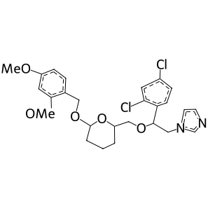 COc1ccc(COC2CCCC(COC(Cn3ccnc3)c3ccc(Cl)cc3Cl)O2)c(OC)c1